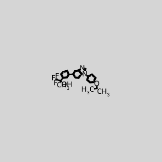 CC(C)Oc1ccc(-n2cnc3cc(-c4cccc(C(C)(O)C(F)(F)F)c4)ccc32)cc1